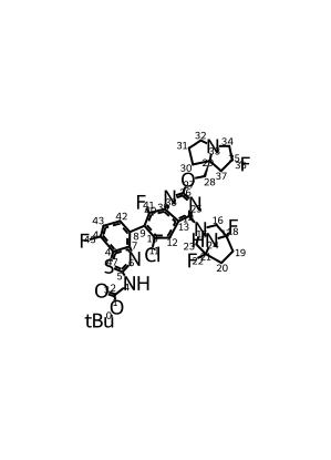 CC(C)(C)OC(=O)Nc1nc2c(-c3c(Cl)cc4c(N5CC6(F)CCC(F)(C5)N6)nc(OC[C@@]56CCCN5C[C@H](F)C6)nc4c3F)ccc(F)c2s1